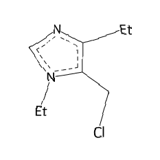 CCc1ncn(CC)c1CCl